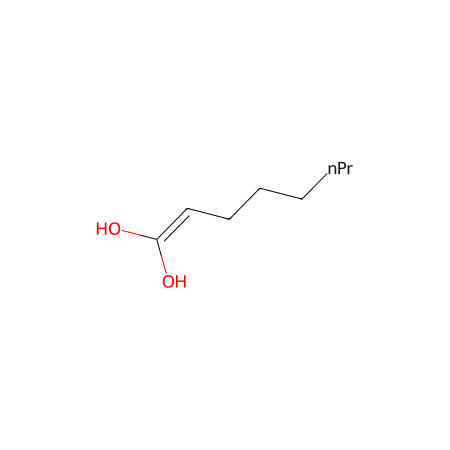 CCCCCCC=C(O)O